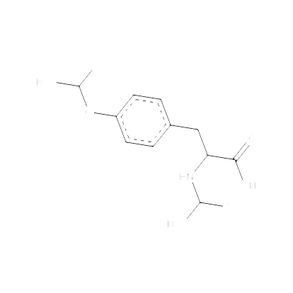 CC(C)NC(Cc1ccc(OC(C)C)cc1)C(=O)O